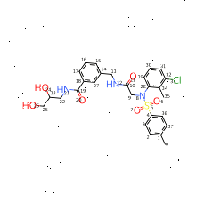 Cc1ccc(S(=O)(=O)N(CC(=O)NCc2cccc(C(=O)NCC(O)CO)c2)c2cccc(Cl)c2C)cc1